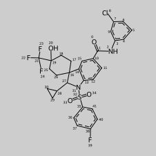 O=C(Nc1cccc(Cl)c1)c1ccc2c(c1)C1(CCC(O)(C(F)(F)F)CC1)C(C1CC1)N2S(=O)(=O)c1ccc(F)cc1